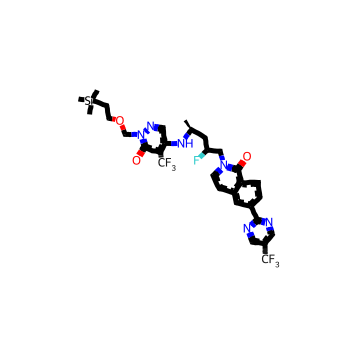 C[C@@H](CC(F)Cn1ccc2cc(-c3ncc(C(F)(F)F)cn3)ccc2c1=O)Nc1cnn(COCC[Si](C)(C)C)c(=O)c1C(F)(F)F